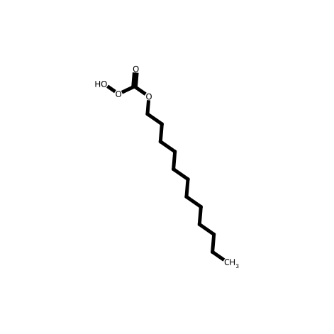 CCCCCCCCCCCCOC(=O)OO